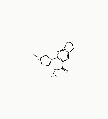 COC(=O)c1cc2c(nc1N1CC[C@H](F)C1)COC2